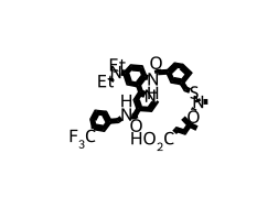 CCN(CC)c1ccc(NC(=O)c2cccc(CSN(C)COC(C)(C)CCC(=O)O)c2)c(-c2cc(C(=O)NCc3cccc(C(F)(F)F)c3)ccn2)c1